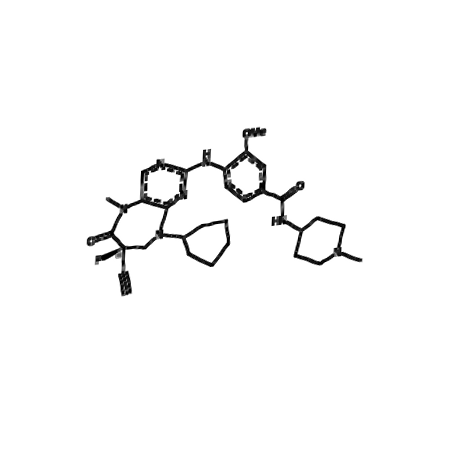 C#C[C@@]1(F)CN(C2CCCCC2)c2nc(Nc3ccc(C(=O)NC4CCN(C)CC4)cc3OC)ncc2N(C)C1=O